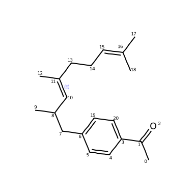 CC(=O)c1ccc(CC(C)/C=C(\C)CCC=C(C)C)cc1